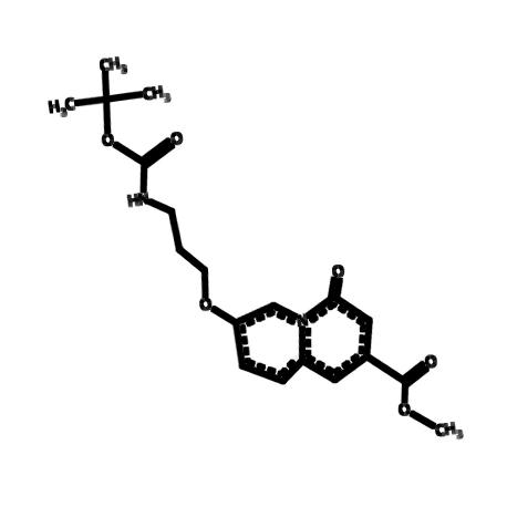 COC(=O)c1cc(=O)n2cc(OCCCNC(=O)OC(C)(C)C)ccc2c1